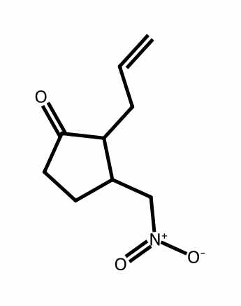 C=CCC1C(=O)CCC1C[N+](=O)[O-]